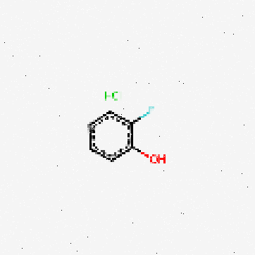 Cl.Oc1ccccc1F